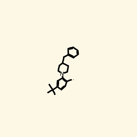 [CH2]c1ccc(C(C)(C)C)cc1N1CCC(Cc2ccccc2)CC1